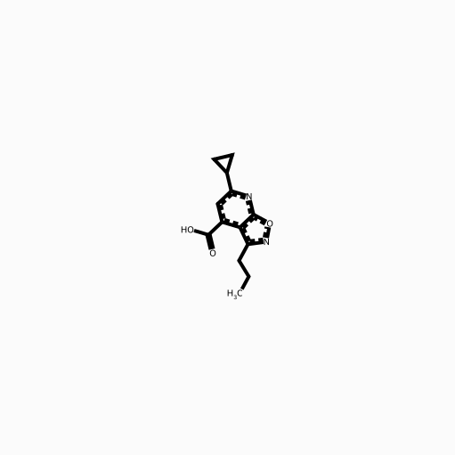 CCCc1noc2nc(C3CC3)cc(C(=O)O)c12